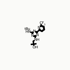 CC(C)(O)CNc1nc(NC(C)(C)C)nc(-c2cccc(C(F)(F)F)n2)n1